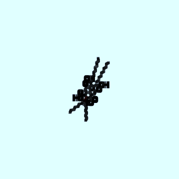 CCCCCCCCCCC(C(=O)O)C1=C(C(CCCCCCCCCC)C(=O)O)c2ccc(C(CCCCCCCCCC)C(=O)O)c3c(C(CCCCCCCCCC)C(=O)O)ccc1c23